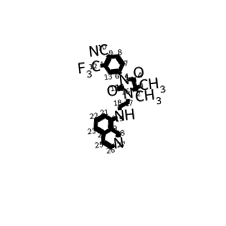 CC1(C)C(=O)N(c2ccc(C#N)c(C(F)(F)F)c2)C(=O)N1CCNc1cccc2ccncc12